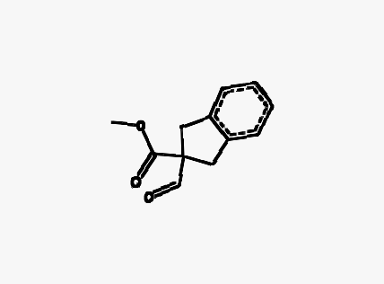 COC(=O)C1(C=O)Cc2ccccc2C1